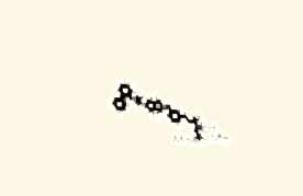 COC(CN(C)C(=O)CCc1cccc(CN2C[C@H]3CC(OC(=O)Nc4ccccc4-c4ccccc4)C[C@H]3C2)c1)OC